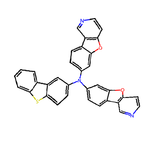 c1ccc2c(c1)sc1ccc(N(c3ccc4c(c3)oc3ccncc34)c3ccc4c(c3)oc3ccncc34)cc12